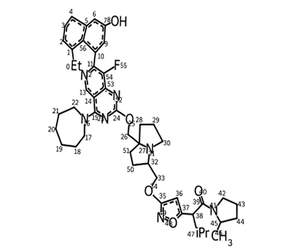 CCc1cccc2cc(O)cc(-c3ncc4c(N5CCCCCC5)nc(OCC56CCCN5C(COc5cc(C(C(=O)N7CCCC7C)C(C)C)on5)CC6)nc4c3F)c12